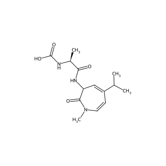 CC(C)C1=CC(NC(=O)[C@H](C)NC(=O)O)C(=O)N(C)C=C1